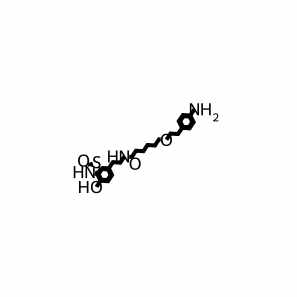 Nc1ccc(CCOCCCCCC(=O)NCCc2ccc(O)c3[nH]c(=O)sc23)cc1